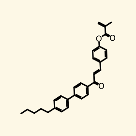 C=C(C)C(=O)Oc1ccc(C=CC(=O)c2ccc(-c3ccc(CCCCC)cc3)cc2)cc1